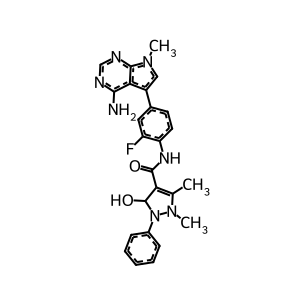 CC1=C(C(=O)Nc2ccc(-c3cn(C)c4ncnc(N)c34)cc2F)C(O)N(c2ccccc2)N1C